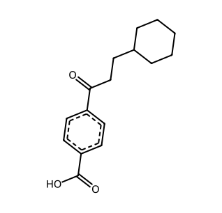 O=C(O)c1ccc(C(=O)CCC2CCCCC2)cc1